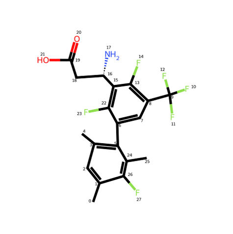 Cc1cc(C)c(-c2cc(C(F)(F)F)c(F)c([C@@H](N)CC(=O)O)c2F)c(C)c1F